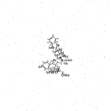 [2H]C([2H])([2H])N(CCC1(OC(=O)COC)C(C(C)C)c2ccc(F)cc2C([2H])([2H])C1([2H])[2H])C([2H])([2H])C([2H])([2H])C([2H])([2H])c1nc2ccccc2[nH]1